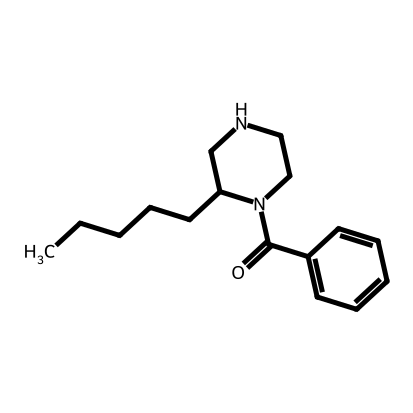 CCCCCC1CNCCN1C(=O)c1ccccc1